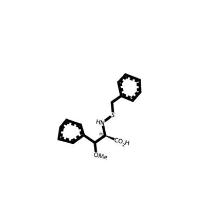 COC(c1ccccc1)[C@@H](NSCc1ccccc1)C(=O)O